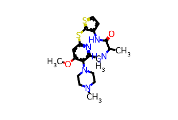 COc1cc(Sc2sccc2NC(=O)C(C)N)nc(C)c1N1CCN(C)CC1